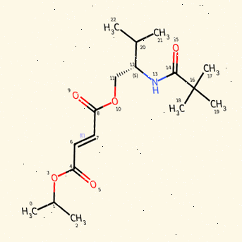 CC(C)OC(=O)/C=C/C(=O)OC[C@@H](NC(=O)C(C)(C)C)C(C)C